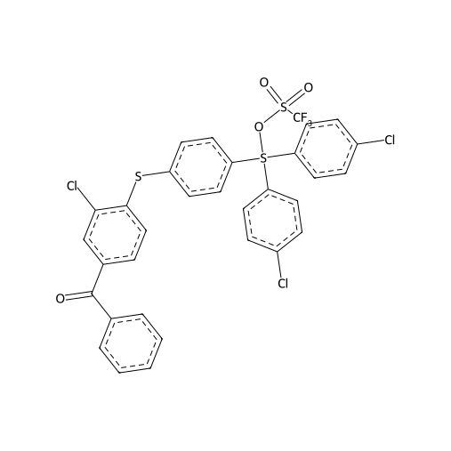 O=C(c1ccccc1)c1ccc(Sc2ccc(S(OS(=O)(=O)C(F)(F)F)(c3ccc(Cl)cc3)c3ccc(Cl)cc3)cc2)c(Cl)c1